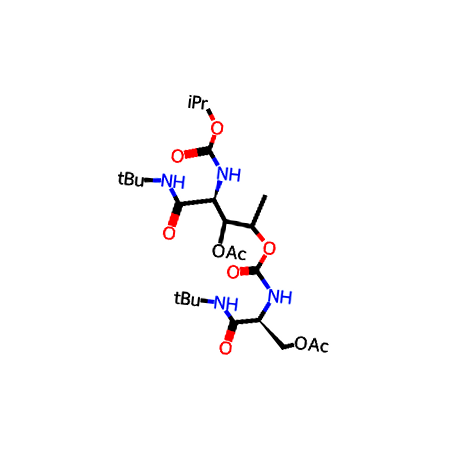 CC(=O)OC[C@H](NC(=O)OC(C)C(OC(C)=O)[C@H](NC(=O)OC(C)C)C(=O)NC(C)(C)C)C(=O)NC(C)(C)C